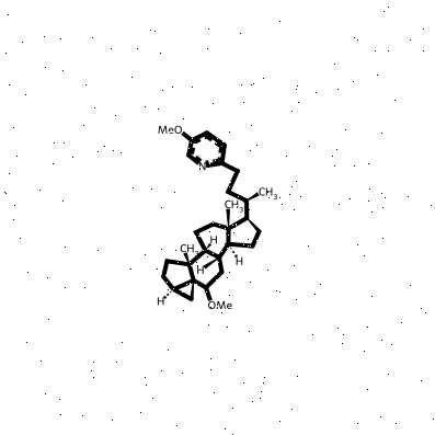 COc1ccc(CC[C@@H](C)[C@H]2CC[C@H]3[C@@H]4CC(OC)[C@]56C[C@H]5CC[C@]6(C)[C@H]4CC[C@]23C)nc1